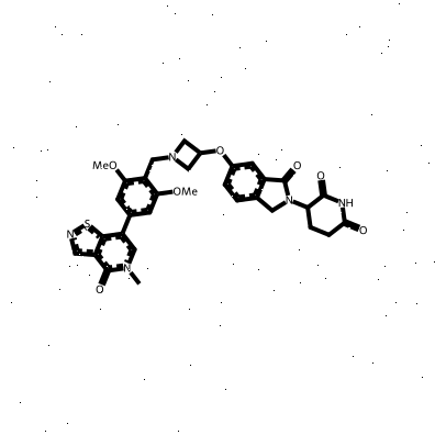 COc1cc(-c2cn(C)c(=O)c3cnsc23)cc(OC)c1CN1CC(Oc2ccc3c(c2)C(=O)N(C2CCC(=O)NC2=O)C3)C1